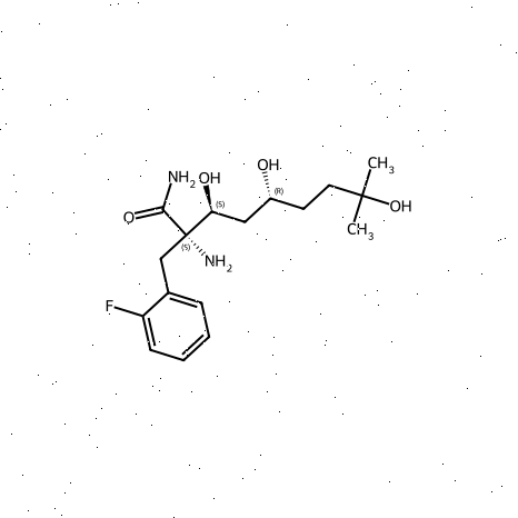 CC(C)(O)CC[C@@H](O)C[C@H](O)[C@@](N)(Cc1ccccc1F)C(N)=O